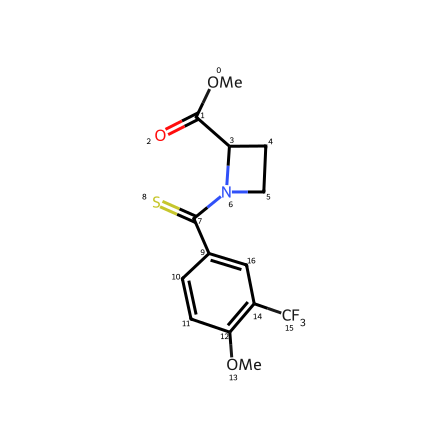 COC(=O)C1CCN1C(=S)c1ccc(OC)c(C(F)(F)F)c1